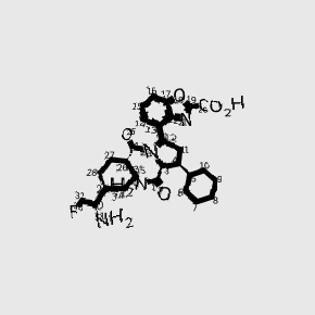 NC(=O)[C@@H]1[C@H](C2CCCCC2)CC(c2cccc3oc(C(=O)O)nc23)N1C(=O)[C@H]1CC[C@H]([C@H](N)CF)CC1